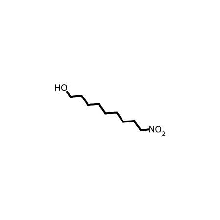 O=[N+]([O-])CCCCCCCCCO